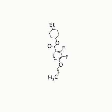 C/C=C/Oc1ccc(C(=O)OC2CCC(CC)CC2)c(F)c1F